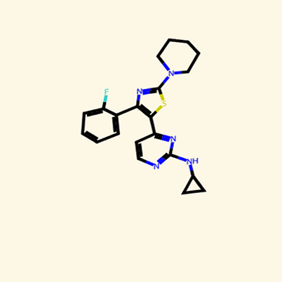 Fc1ccccc1-c1nc(N2CCCCC2)sc1-c1ccnc(NC2CC2)n1